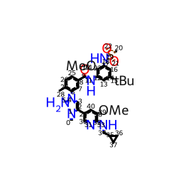 C=N/C(=C\N(N)c1cc(C(=O)Nc2cc(C(C)(C)C)cc(NS(C)(=O)=O)c2OC)ccc1C)c1cnc(NCC2CC2)c(OC)c1